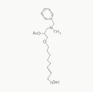 CCCCCCCCCCCCCCCCCCOCC(CN(C)Cc1ccccc1)OC(C)=O